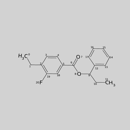 CCc1ccc(C(=O)OC(CC)c2ccccc2)cc1F